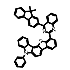 CC1(C)c2ccccc2-c2ccc(-c3nc(-c4cccc5c4sc4c5ccc5c4c4ccccc4n5-c4ccccc4)nc4ccccc34)cc21